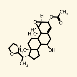 CC(=O)O[C@@H]1C=C2C[C@@H](O)C3C4CC[C@H](C(C)C5OCCO5)[C@@]4(C)CCC3[C@@]2(C)[C@H]2O[C@@H]12